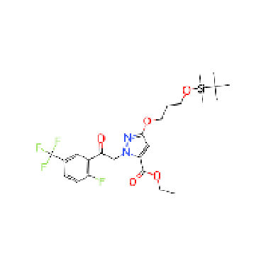 CCOC(=O)c1cc(OCCCO[Si](C)(C)C(C)(C)C)nn1CC(=O)c1cc(C(F)(F)F)ccc1F